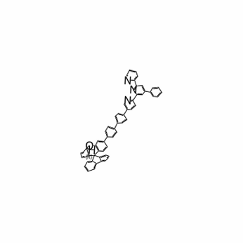 C1=CC2Oc3cc(-c4ccc(-c5ccc(-c6ccc(-c7cc(-c8ccccc8)cc(-c8ccccn8)n7)nc6)cc5)cc4)ccc3C3(c4ccccc4-c4ccccc43)[C@H]2C=C1